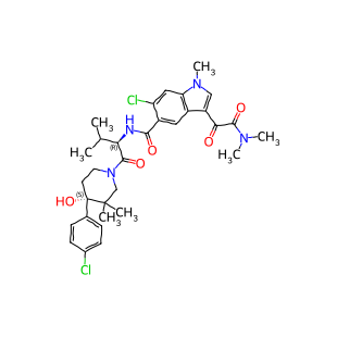 CC(C)[C@@H](NC(=O)c1cc2c(C(=O)C(=O)N(C)C)cn(C)c2cc1Cl)C(=O)N1CC[C@](O)(c2ccc(Cl)cc2)C(C)(C)C1